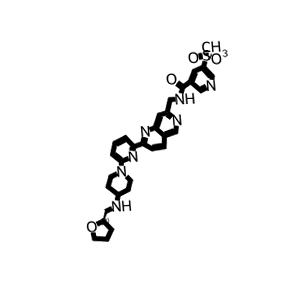 CS(=O)(=O)c1cncc(C(=O)NCc2cc3nc(-c4cccc(N5CCC(NC[C@H]6CCCO6)CC5)n4)ccc3cn2)c1